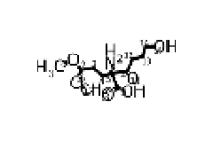 COC(CCC(N)(C(=O)O)C(=O)CCCO)OC